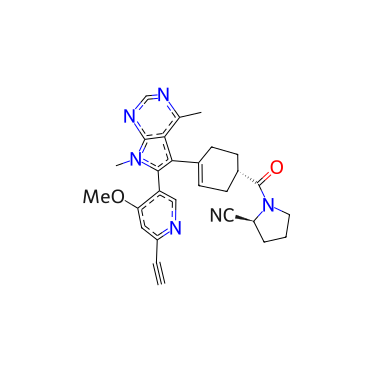 C#Cc1cc(OC)c(-c2c(C3=CC[C@@H](C(=O)N4CCC[C@H]4C#N)CC3)c3c(C)ncnc3n2C)cn1